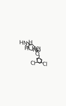 Cl.O=C(OCc1cc(Cl)cc(Cl)c1)N1CC[C@@H]2CNC[C@@H]2CC1